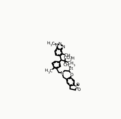 CC[C@@H]1CN(Cc2cc(C(c3ccc4c(nnn4C)c3C)C(C)(C)C(=O)O)ccc2C)Cc2cc3c(cc2O1)S(=O)(=O)CC3